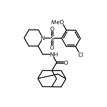 COc1ccc(Cl)cc1S(=O)(=O)N1CCCCC1CNC(=O)C12CC3CC(CC(C3)C1)C2